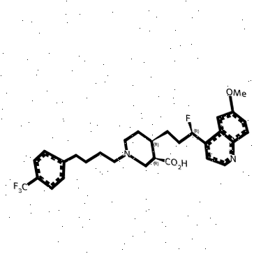 COc1ccc2nccc([C@H](F)CC[C@@H]3CCN(CCCCc4ccc(C(F)(F)F)cc4)C[C@@H]3C(=O)O)c2c1